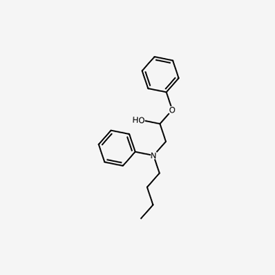 CCCCN(CC(O)Oc1ccccc1)c1ccccc1